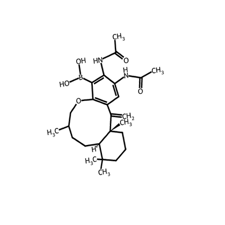 C=C1c2cc(NC(C)=O)c(NC(C)=O)c(B(O)O)c2OCC(C)CC[C@@H]2C(C)(C)CCC[C@@]12C